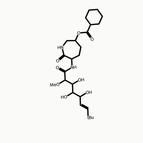 COC(C(=O)NC1CCC(OC(=O)C2CCCCC2)CNC1=O)C(O)C(O)C(O)C=CC(C)(C)C